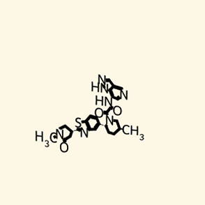 C[C@H]1CC[C@H](c2ccc3sc([C@H]4CCN(C)C(=O)C4)nc3c2)N(C(=O)C(=O)Nc2cncc3cn[nH]c23)C1